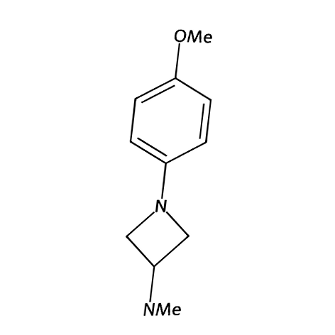 CNC1CN(c2ccc(OC)cc2)C1